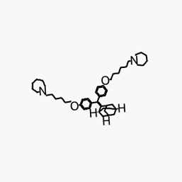 c1cc(C(c2ccc(OCCCCCCN3CCCCCC3)cc2)=C2C3C[C@H]4C[C@@H](C3)C[C@H]2C4)ccc1OCCCCCCN1CCCCCC1